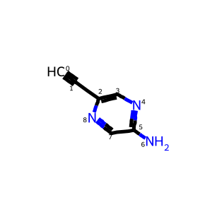 C#Cc1cnc(N)cn1